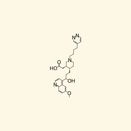 COc1ccc2nccc(C(O)CC[C@@H]3CCN(CCCCc4ccnnc4)C[C@@H]3CC(=O)O)c2c1